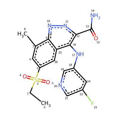 CCS(=O)(=O)c1cc(C)c2nnc(C(N)=O)c(Nc3cncc(F)c3)c2c1